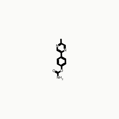 Cc1cnc(-c2ccc(OC(N)=O)cc2)cn1